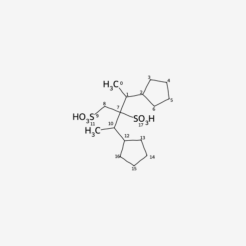 CC(C1CCCC1)C(CS(=O)(=O)O)(C(C)C1CCCC1)S(=O)(=O)O